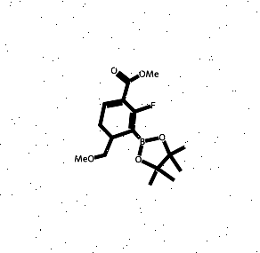 COCC1CC=C(C(=O)OC)C(F)=C1B1OC(C)(C)C(C)(C)O1